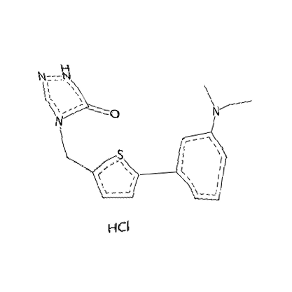 CN(C)c1cccc(-c2ccc(Cn3cn[nH]c3=O)s2)c1.Cl